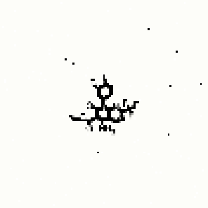 CCOC(=O)c1c(N)c2ccc(C(F)(F)F)nc2n(-c2ccc(Cl)c(F)c2)c1=O